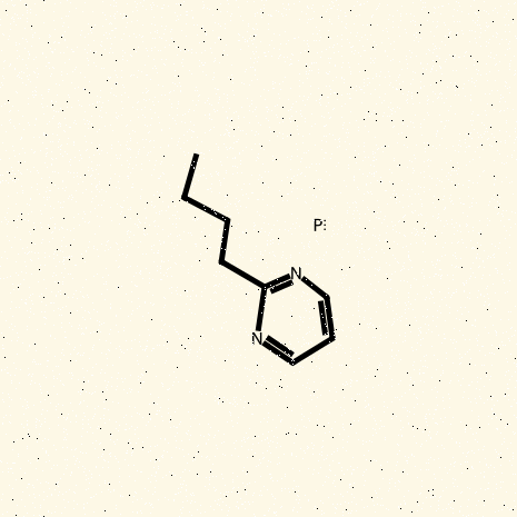 CCCCc1ncccn1.[P]